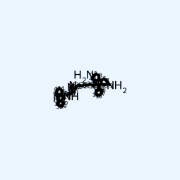 NC1=CCC2=c3ccc(N)cc3=C(c3ccccc3)N(CCCCCCc3cn(CCNc4c5c(nc6ccccc46)CCCC5)nn3)C2=C1